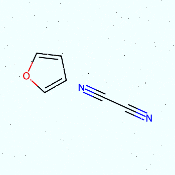 N#CC#N.c1ccoc1